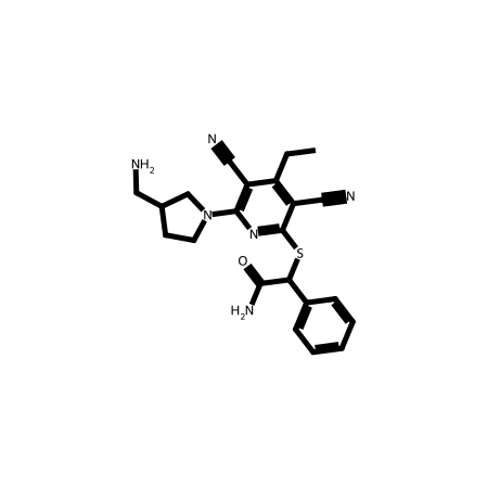 CCc1c(C#N)c(SC(C(N)=O)c2ccccc2)nc(N2CCC(CN)C2)c1C#N